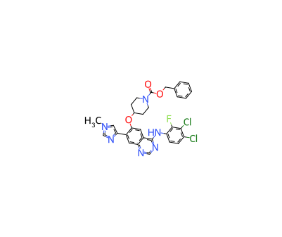 Cn1cnc(-c2cc3ncnc(Nc4ccc(Cl)c(Cl)c4F)c3cc2OC2CCN(C(=O)OCc3ccccc3)CC2)c1